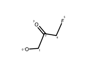 [O]CC(=O)CF